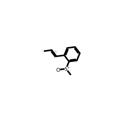 [CH2]/C=C/c1ccccc1[S+](C)[O-]